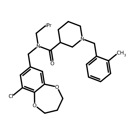 Cc1ccccc1CN1CCCC(C(=O)N(Cc2cc(Cl)c3c(c2)OCCCO3)CC(C)C)C1